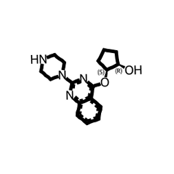 O[C@@H]1CCC[C@@H]1Oc1nc(N2CCNCC2)nc2ccccc12